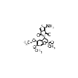 CCOc1cc(C(CS(C)(=O)=O)N2C(=O)c3csc(N)c3C2=O)ccc1OC